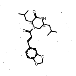 CC(C)C[C@H]1CN(C(=O)C=Cc2ccc3c(c2)OCO3)[C@@H](CC(C)C)C(=O)N1